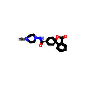 CCCCN1CCN(NC(=O)[C@H]2CC[C@@]3(CC2)OC(=O)c2ccccc23)CC1